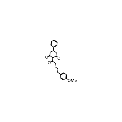 COc1ccc(CCCCC(=O)C2C(=O)CC(c3ccccc3)CC2=O)cc1